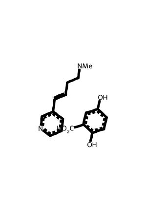 CNCC/C=C/c1cccnc1.O=C(O)c1cc(O)ccc1O